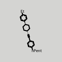 CCCCCc1ccc(C#C[C@H]2CC[C@H](c3ccc(CC)cc3)CC2)cc1